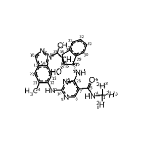 [2H]C([2H])([2H])NC(=O)c1cnc(Nc2cc3c(cnn3C(C)C)cc2C)nc1N[C@H]1c2ccccc2C[C@H]1O